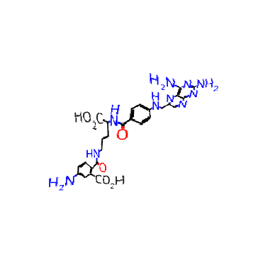 Nc1ccc(C(=O)NCCCC(NC(=O)c2ccc(NCc3cnc4nc(N)nc(N)c4n3)cc2)C(=O)O)c(C(=O)O)c1